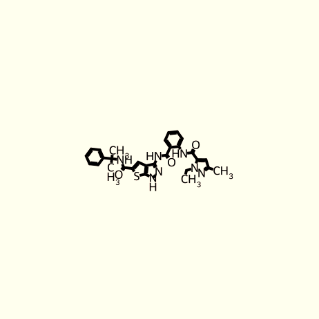 CCn1nc(C)cc1C(=O)Nc1ccccc1C(=O)Nc1n[nH]c2sc(C(=O)NC(C)(C)c3ccccc3)cc12